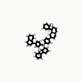 C1=CC2C=Cc3oc4ccccc4c3C2C=C1c1ccc(N(c2ccc(-c3cccc4ccccc34)cc2)c2cccc3c2oc2ccccc23)cc1